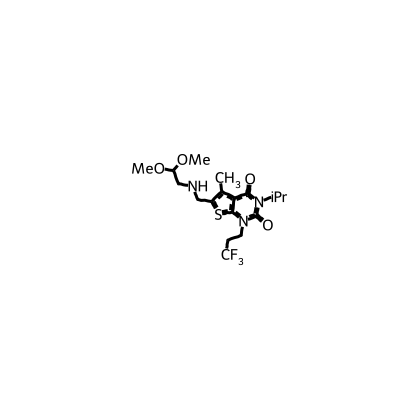 COC(CNCc1sc2c(c1C)c(=O)n(C(C)C)c(=O)n2CCC(F)(F)F)OC